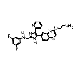 NCCOc1cnc2ccc(-c3[nH]c(CNc4cc(F)cc(F)c4)nc3-c3ccccn3)cc2n1